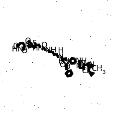 Cn1ncc(-c2nc(NC3CCC(N(CC(=O)NCCCCCNCC(=O)NCc4cc5c(s4)C(=O)N(C4CCC(=O)NC4=O)C5)C(=O)OCc4ccccc4)CC3)ncc2Cl)c1CC1CC1